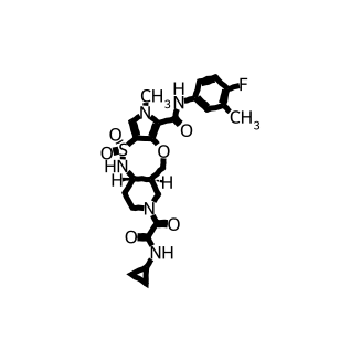 Cc1cc(NC(=O)c2c3c(cn2C)S(=O)(=O)N[C@H]2CCN(C(=O)C(=O)NC4CC4)C[C@@H]2CO3)ccc1F